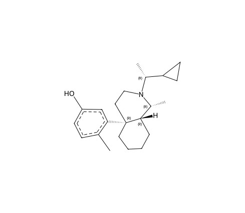 Cc1ccc(O)cc1[C@@]12CCCC[C@H]1[C@@H](C)N([C@H](C)C1CC1)CC2